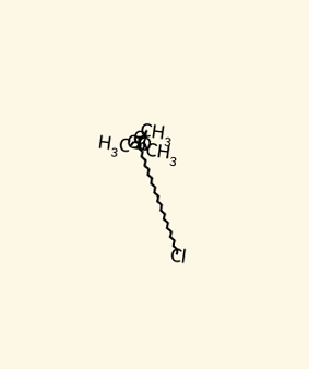 CCO[Si](CCCCCCCCCCCCCCCCCCCCCCCCCl)(OCC)OCC